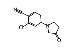 N#CC1=CCC(N2CCC(=O)C2)C=C1Cl